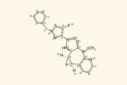 CN1C(=O)[C@H](NC(=O)c2nn(Cc3ccccc3)cc2F)[C@@H]2C[C@@H]2c2cccnc21